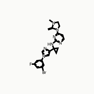 C=C1N(C)CCN1c1ccnc(NC2(c3cn(-c4cc(F)cc(Br)c4)cn3)CC2)n1